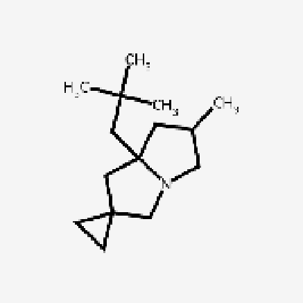 CC1CN2CC3(CC3)CC2(CC(C)(C)C)C1